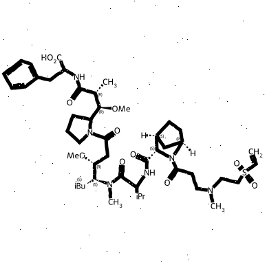 C=CS(=O)(=O)CCN(C)CCC(=O)N1[C@@H]2CC[C@@H](C2)[C@H]1C(=O)NC(C(=O)N(C)[C@@H]([C@@H](C)CC)[C@@H](CC(=O)N1CCCC1[C@H](OC)[C@@H](C)C(=O)NC(Cc1ccccc1)C(=O)O)OC)C(C)C